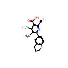 C#Cc1nc(-c2ccc3c(c2)CCCS3)c(C)c(C)c1C(=O)O